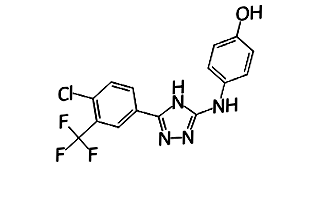 Oc1ccc(Nc2nnc(-c3ccc(Cl)c(C(F)(F)F)c3)[nH]2)cc1